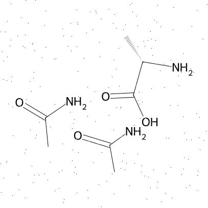 CC(N)=O.CC(N)=O.C[C@H](N)C(=O)O